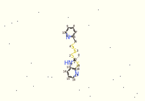 C[C@@]1(SSSCc2ccccn2)Nc2cccnc2S1